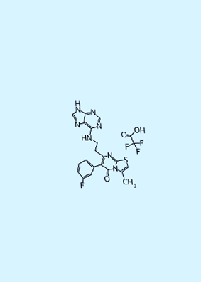 Cc1csc2nc(CCNc3ncnc4[nH]cnc34)c(-c3cccc(F)c3)c(=O)n12.O=C(O)C(F)(F)F